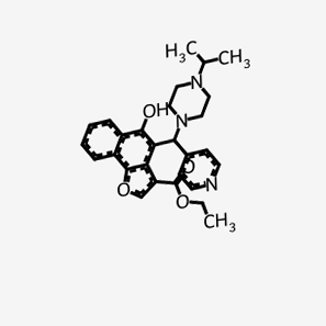 CCOC(=O)c1coc2c1c(C(c1ccncc1)N1CCN(C(C)C)CC1)c(O)c1ccccc12